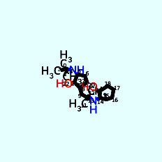 CC(C)(C)NC1CCC(CC(C)(C)NC2CCCCC2O)C1O